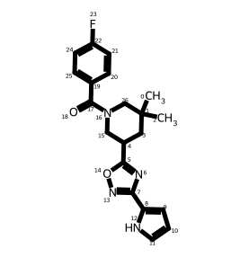 CC1(C)CC(c2nc(-c3ccc[nH]3)no2)CN(C(=O)c2ccc(F)cc2)C1